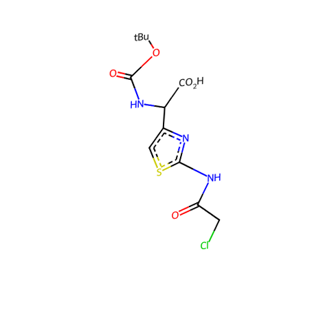 CC(C)(C)OC(=O)NC(C(=O)O)c1csc(NC(=O)CCl)n1